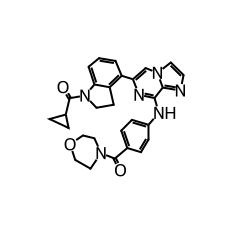 O=C(c1ccc(Nc2nc(-c3cccc4c3CCN4C(=O)C3CC3)cn3ccnc23)cc1)N1CCOCC1